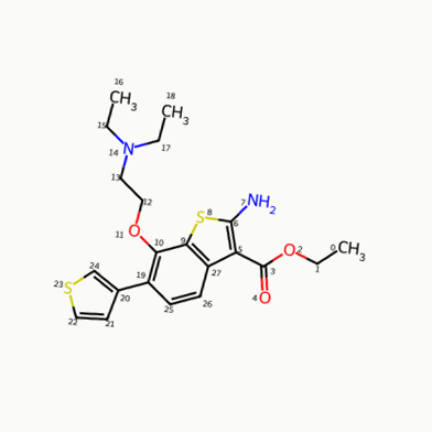 CCOC(=O)c1c(N)sc2c(OCCN(CC)CC)c(-c3ccsc3)ccc12